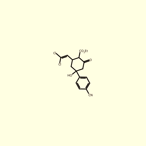 CCOC(=O)C1C(=O)CC(O)(c2ccc(C#N)cc2)CC1C=C(Cl)Cl